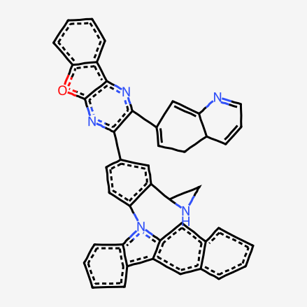 C1=CC2CC=C(c3nc4c(nc3-c3ccc(-n5c6ccccc6c6cc7ccccc7cc65)c(C5CN5)c3)oc3ccccc34)C=C2N=C1